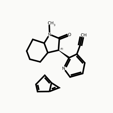 C#Cc1cccnc1[C@@H]1C(=O)N(C)C2CCCCC21.c1cc2cc-2c1